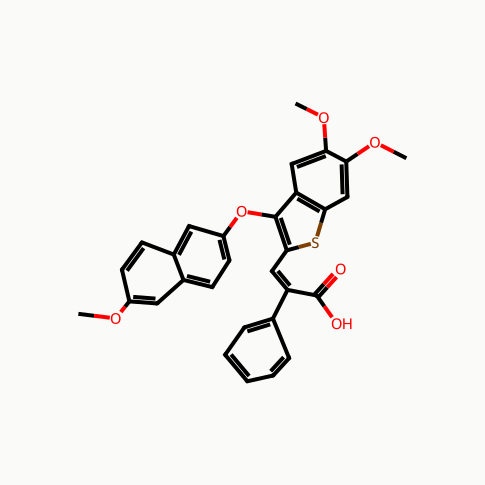 COc1ccc2cc(Oc3c(C=C(C(=O)O)c4ccccc4)sc4cc(OC)c(OC)cc34)ccc2c1